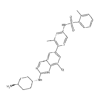 CCc1cc(-c2ccc(NS(=O)(=O)c3ccccc3C)cc2C)cc2cnc(N[C@H]3CC[C@H](N)CC3)nc12